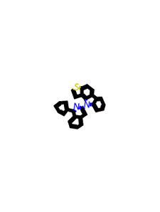 c1ccc(-c2nc(-n3c4ccccc4c4ccc5sccc5c43)cc3ccccc23)cc1